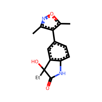 CCC1(O)C(=O)Nc2ccc(-c3c(C)noc3C)cc21